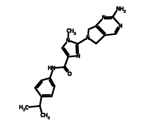 CC(C)c1ccc(NC(=O)c2cn(C)c(N3Cc4cnc(N)nc4C3)n2)cc1